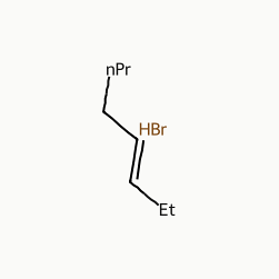 Br.CCC=CCCCC